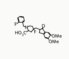 COc1cc2c(cc1OC)C(=O)C(CC1(F)CCN(Cc3ccccc3F)C(C(=O)O)C1)C2